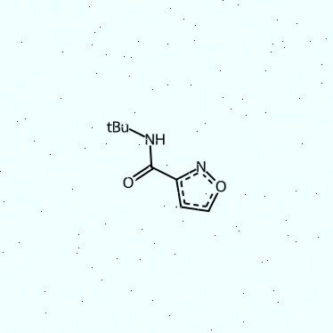 CC(C)(C)NC(=O)c1[c]con1